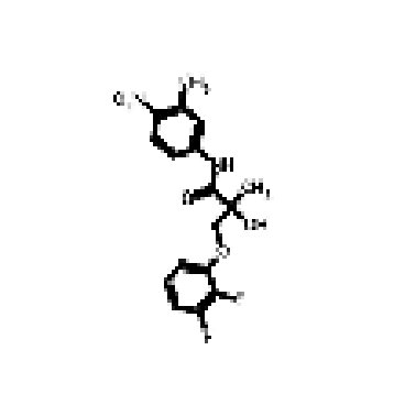 Cc1cc(NC(=O)C(C)(O)COc2cccc(F)c2F)ccc1[N+](=O)[O-]